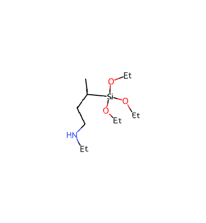 CCNCCC(C)[Si](OCC)(OCC)OCC